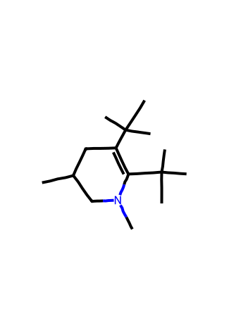 CC1CC(C(C)(C)C)=C(C(C)(C)C)N(C)C1